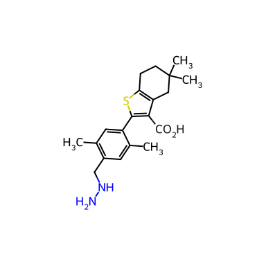 Cc1cc(-c2sc3c(c2C(=O)O)CC(C)(C)CC3)c(C)cc1CNN